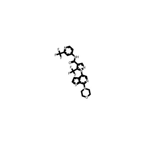 O=C(Nc1ccnc(C(F)(F)F)c1)c1cnn(-c2cnc(N3CCOCC3)c3sccc23)c1C(F)(F)F